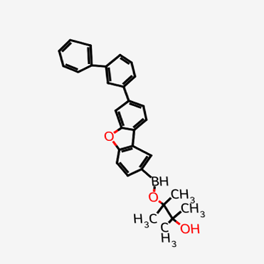 CC(C)(O)C(C)(C)OBc1ccc2oc3cc(-c4cccc(-c5ccccc5)c4)ccc3c2c1